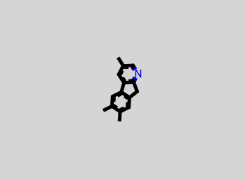 Cc1cnc2c(c1)-c1cc(C)c(C)cc1C2